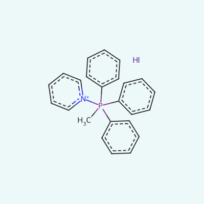 CP(c1ccccc1)(c1ccccc1)(c1ccccc1)[n+]1ccccc1.I